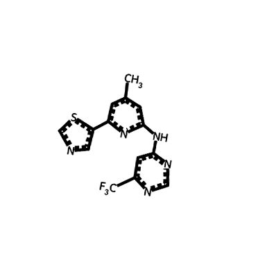 Cc1cc(Nc2cc(C(F)(F)F)ncn2)nc(-c2cncs2)c1